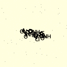 CNC(=O)c1sccc1Nc1nc(Nc2ccc3c(c2)NC(=O)CN(C(C)=O)C3)ncc1Cl